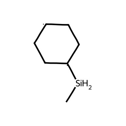 C[SiH2][C]1CC[CH]CC1